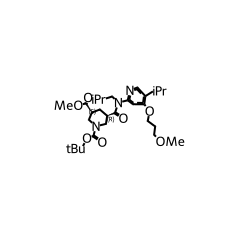 COCCCOc1cc(N(CC(C)C)C(=O)[C@@H]2C[C@H](C(=O)OC)CN(C(=O)OC(C)(C)C)C2)ncc1C(C)C